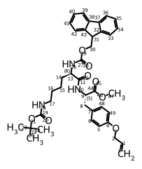 C=CCOc1ccc(C[C@H](NC(=O)[C@@H](CCCCNC(=O)OC(C)(C)C)NC(=O)OCC2c3ccccc3-c3ccccc32)C(=O)OC)cc1